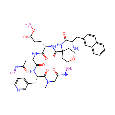 CN(CC(=O)NP)C(=O)[C@H](Cc1cccnc1)NC(=O)[C@H](CC(=O)N=P)NC(=O)[C@H](CCC(=O)OP)NC(=O)C1(NC(=O)[C@@H](N)Cc2ccc3ccccc3c2)CCOCC1